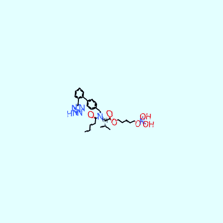 CCCCC(=O)N(Cc1ccc(-c2ccccc2-c2nn[nH]n2)cc1)[C@H](C(=O)OCCCCCON(O)O)C(C)C